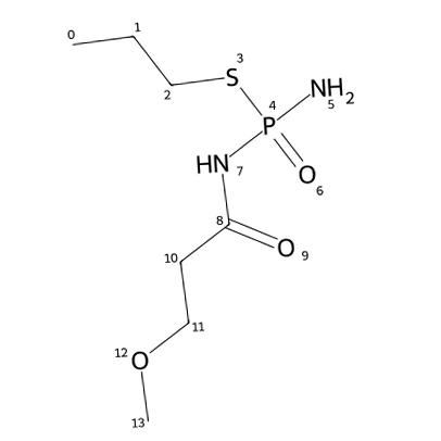 CCCSP(N)(=O)NC(=O)CCOC